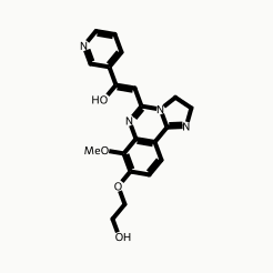 COc1c(OCCO)ccc2c1N=C(/C=C(\O)c1cccnc1)N1CCN=C21